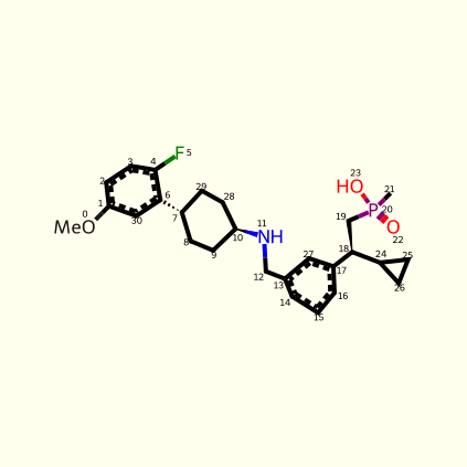 COc1ccc(F)c([C@H]2CC[C@H](NCc3cccc([C@@H](CP(C)(=O)O)C4CC4)c3)CC2)c1